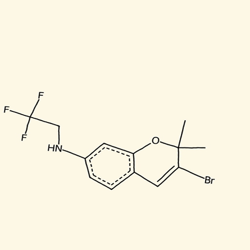 CC1(C)Oc2cc(NCC(F)(F)F)ccc2C=C1Br